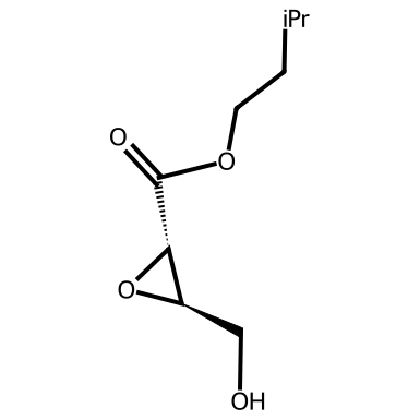 CC(C)CCOC(=O)[C@H]1O[C@@H]1CO